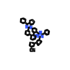 N#Cc1cccc(-c2cccc(C3=NC(c4ccccc4)=NC(c4ccccc4-c4ccccc4-c4cccc(-c5nc(-c6ccccc6)c6ccccc6n5)c4)N3)c2)c1